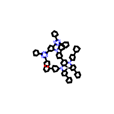 c1ccc(-c2ccc(N3c4ccc(-c5ccccc5)cc4B4c5cc(-c6ccccc6)ccc5N(c5ccc(-c6ccccc6)cc5)c5cc(-c6ccc7c(c6)c6ccccc6n7-c6cc(-c7nc(-c8ccccc8)nc(-c8ccccc8)n7)ccc6-c6nc(-c7ccccc7)nc(-c7ccccc7)n6)cc3c54)cc2)cc1